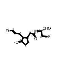 CC/C=C/CC1C(=O)CCC1CC(=O)N[C@@H](C=O)CC(C)C